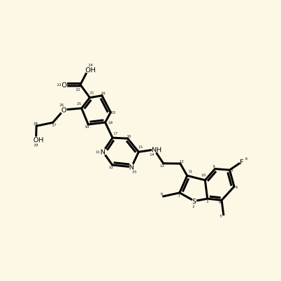 Cc1sc2c(C)cc(F)cc2c1CCNc1cc(-c2ccc(C(=O)O)c(OCCO)c2)ncn1